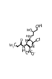 CCC(=O)Nc1nc(NCC(O)CO)c(Cl)nc1[N+](=O)[O-]